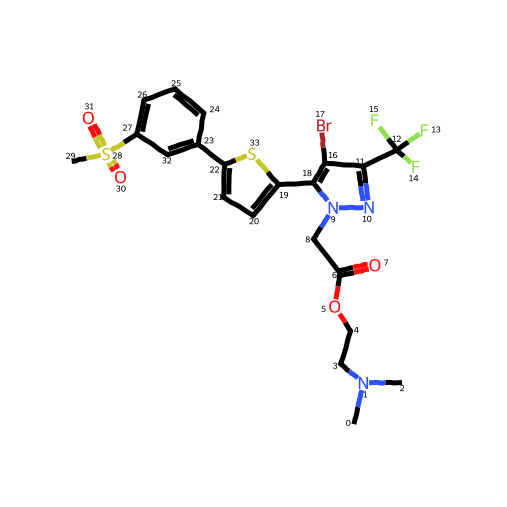 CN(C)CCOC(=O)Cn1nc(C(F)(F)F)c(Br)c1-c1ccc(-c2cccc(S(C)(=O)=O)c2)s1